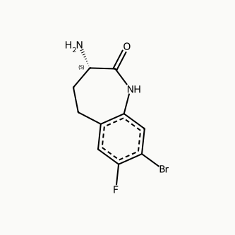 N[C@H]1CCc2cc(F)c(Br)cc2NC1=O